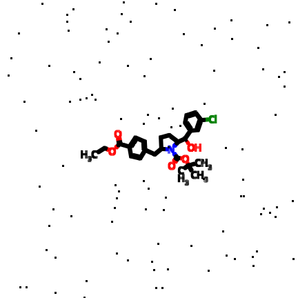 CCOC(=O)c1ccc(CC2CCC([C@H](O)c3cccc(Cl)c3)N2C(=O)OC(C)(C)C)cc1